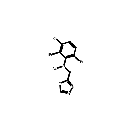 CC(=O)N(Cc1nnco1)c1c(C(C)C)ccc(Cl)c1C(C)C